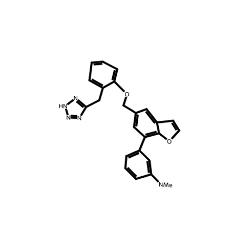 CNc1cccc(-c2cc(COc3ccccc3Cc3nn[nH]n3)cc3ccoc23)c1